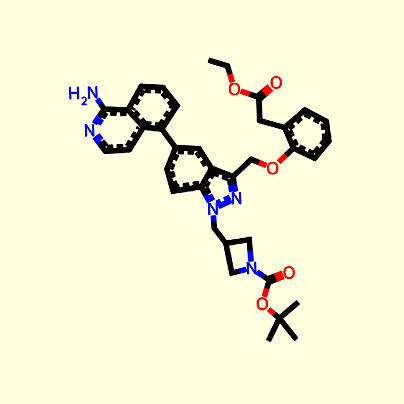 CCOC(=O)Cc1ccccc1OCc1nn(CC2CN(C(=O)OC(C)(C)C)C2)c2ccc(-c3cccc4c(N)nccc34)cc12